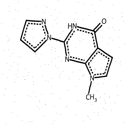 Cn1ccc2c(=O)[nH]c(-n3cccn3)nc21